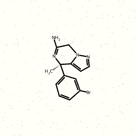 C[C@]1(c2cccc(Br)c2)N=C(N)Cn2nccc21